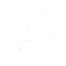 COC(=O)C1CC(O)CCN1C(=O)OC(C)(C)C